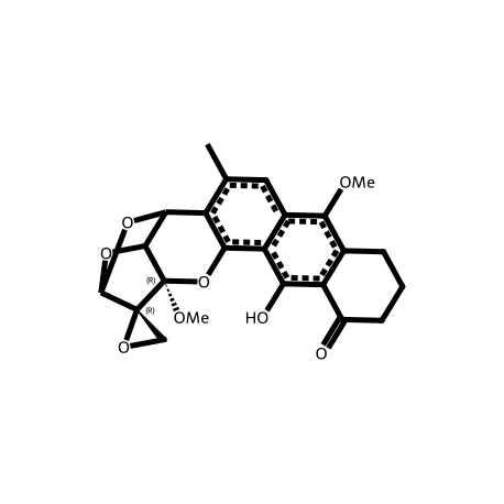 COc1c2c(c(O)c3c4c(c(C)cc13)C1OC3OC1[C@@](OC)(O4)[C@@]31CO1)C(=O)CCC2